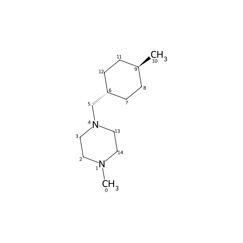 CN1CCN(C[C@H]2CC[C@H](C)CC2)CC1